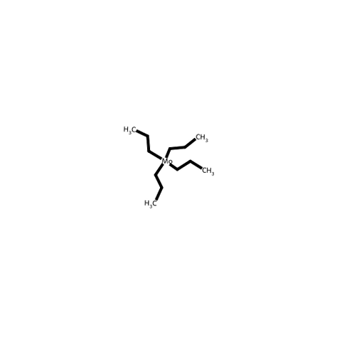 CC[CH2][Mo]([CH2]CC)([CH2]CC)[CH2]CC